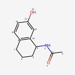 CC(=O)NC1CCCc2ccc(O)cc21